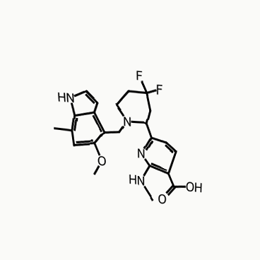 CNc1nc(C2CC(F)(F)CCN2Cc2c(OC)cc(C)c3[nH]ccc23)ccc1C(=O)O